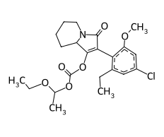 CCOC(C)OC(=O)OC1=C(c2c(CC)cc(Cl)cc2OC)C(=O)N2CCCCC12